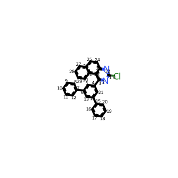 Clc1nc(-c2cc(-c3ccccc3)cc(-c3ccccc3)c2)c2c(ccc3ccccc32)n1